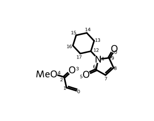 C=CC(=O)OC.O=C1C=CC(=O)N1C1CCCCC1